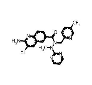 CCc1cc2cc(C(=O)N(Cc3ccc(C(F)(F)F)cn3)N(C)c3ncccn3)ccc2nc1N